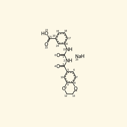 O=C(NC(=O)c1ccc2c(c1)OCCO2)Nc1cccc(C(=O)O)c1.[NaH]